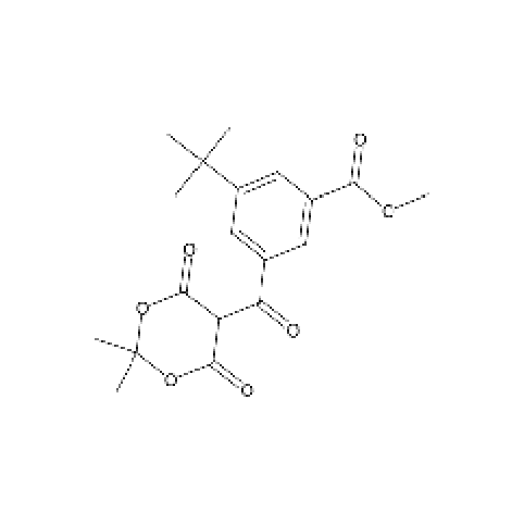 COC(=O)c1cc(C(=O)C2C(=O)OC(C)(C)OC2=O)cc(C(C)(C)C)c1